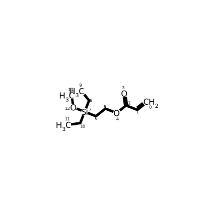 C=CC(=O)OCC[Si](CC)(CC)OC